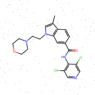 Cc1cn(CCN2CCOCC2)c2cc(C(=O)Nc3c(Cl)cncc3Cl)ccc12